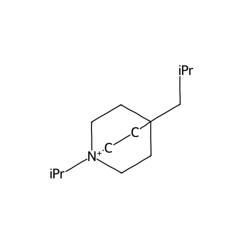 CC(C)CC12CC[N+](C(C)C)(CC1)CC2